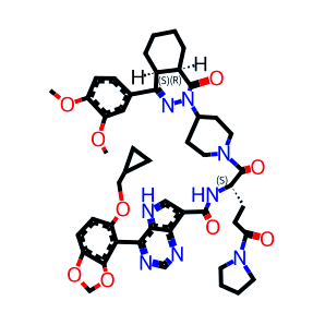 COc1ccc(C2=NN(C3CCN(C(=O)[C@H](CCC(=O)N4CCCC4)NC(=O)c4c[nH]c5c(-c6c(OCC7CC7)ccc7c6OCO7)ncnc45)CC3)C(=O)[C@@H]3CCCC[C@H]23)cc1OC